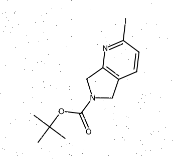 CC(C)(C)OC(=O)N1Cc2ccc(I)nc2C1